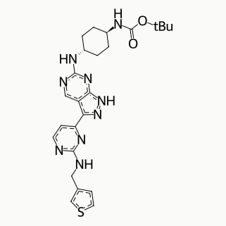 CC(C)(C)OC(=O)N[C@H]1CC[C@H](Nc2ncc3c(-c4ccnc(NCc5ccsc5)n4)n[nH]c3n2)CC1